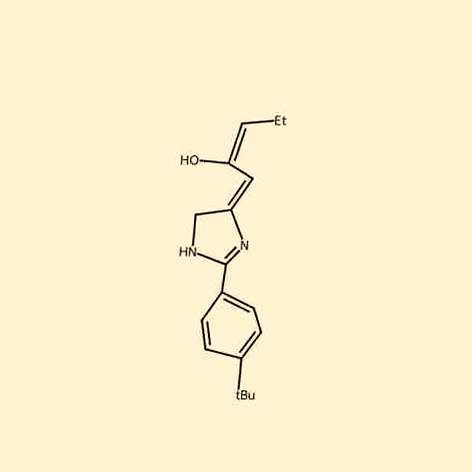 CC/C=C(O)\C=C1/CNC(c2ccc(C(C)(C)C)cc2)=N1